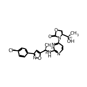 C[C@@H](Nc1nccc(N2C(=O)OCC2[C@@H](C)O)n1)c1cc(-c2ccc(Cl)cc2)no1